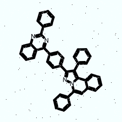 c1ccc(-c2nc(-c3ccc(-c4nn5c(-c6ccccc6)cc6ccccc6c5c4-c4ccccc4)cc3)c3ccccc3n2)cc1